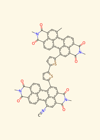 [C-]#[N+]c1cc2c3c(cc(-c4ccc(-c5ccc(-c6cc7c8c(ccc9c%10c(C)cc%11c%12c(ccc(c6c89)c%12%10)C(=O)N(C)C%11=O)C(=O)N(C)C7=O)s5)s4)c4c5ccc6c7c(ccc(c1c34)c75)C(=O)N(C)C6=O)C(=O)N(C)C2=O